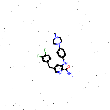 CN1CCN(c2ccc(Nc3cc(Cc4ccc(F)c(F)c4)cnc3C(N)=O)cc2)CC1